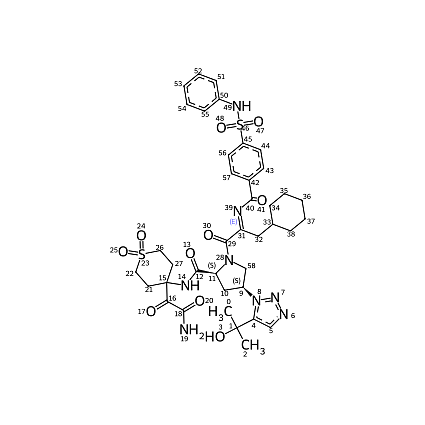 CC(C)(O)c1cnnn1[C@H]1C[C@@H](C(=O)NC2(C(=O)C(N)=O)CCS(=O)(=O)CC2)N(C(=O)/C(CC2CCCCC2)=N/C(=O)c2ccc(S(=O)(=O)Nc3ccccc3)cc2)C1